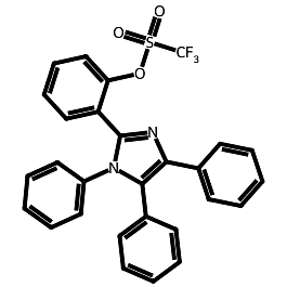 O=S(=O)(Oc1ccccc1-c1nc(-c2ccccc2)c(-c2ccccc2)n1-c1ccccc1)C(F)(F)F